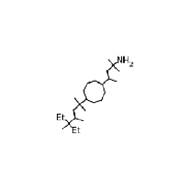 CCC(C)(CC)C(C)CC(C)(C)C1CCCC(C(C)CC(C)(C)N)CCC1